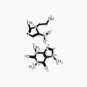 Cc1ncc([N+](=O)[O-])n1CCO.Cn1c(=O)c2c(ncn2C)n(C)c1=O